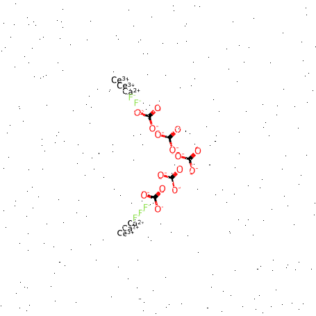 O=C([O-])[O-].O=C([O-])[O-].O=C([O-])[O-].O=C([O-])[O-].O=C([O-])[O-].[Ca+2].[Ca+2].[Ca+2].[Ce+3].[Ce+3].[Ce+3].[F-].[F-].[F-].[F-].[F-]